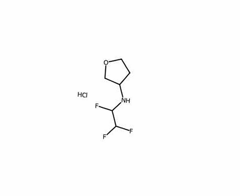 Cl.FC(F)C(F)NC1CCOC1